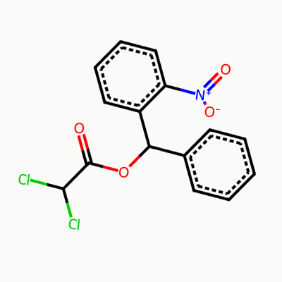 O=C(OC(c1ccccc1)c1ccccc1[N+](=O)[O-])C(Cl)Cl